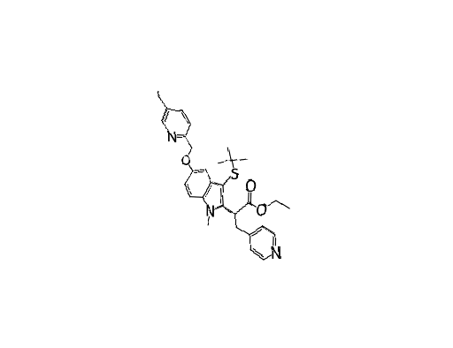 CCOC(=O)C(Cc1ccncc1)c1c(SC(C)(C)C)c2cc(OCc3ccc(C)cn3)ccc2n1C